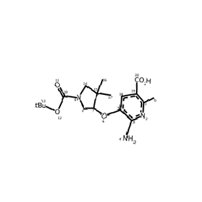 Cc1nc(N)c(OC2CN(C(=O)OC(C)(C)C)CC2(C)C)cc1C(=O)O